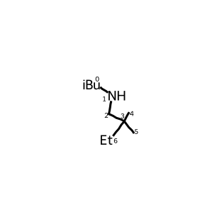 CCC(C)NCC(C)(C)CC